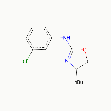 CCCCC1COC(Nc2cccc(Cl)c2)=N1